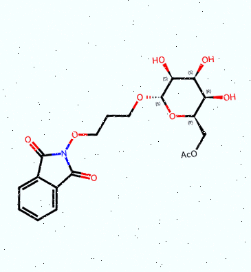 CC(=O)OC[C@H]1O[C@H](OCCCON2C(=O)c3ccccc3C2=O)[C@@H](O)[C@@H](O)[C@H]1O